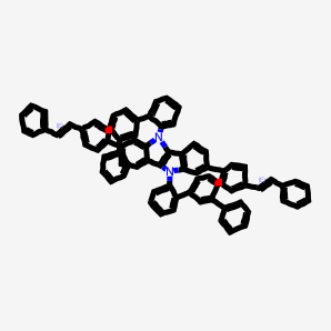 C(=C\c1ccc(-c2ccc3c(c2)n(-c2ccccc2-c2cccc(-c4ccccc4)c2)c2c4ccc(-c5ccc(/C=C/c6ccccc6)cc5)cc4n(-c4ccccc4-c4cccc(-c5ccccc5)c4)c32)cc1)/c1ccccc1